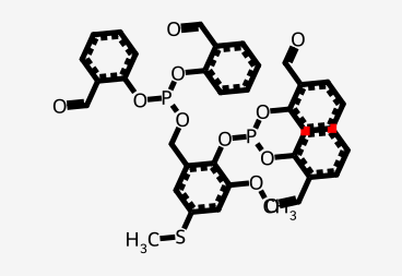 COc1cc(SC)cc(COP(Oc2ccccc2C=O)Oc2ccccc2C=O)c1OP(Oc1ccccc1C=O)Oc1ccccc1C=O